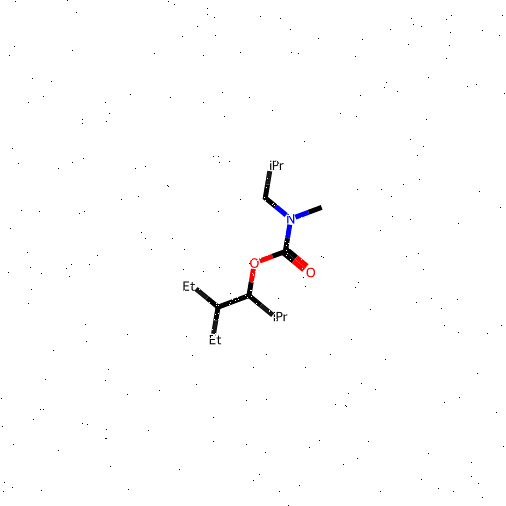 CCC(CC)C(OC(=O)N(C)CC(C)C)C(C)C